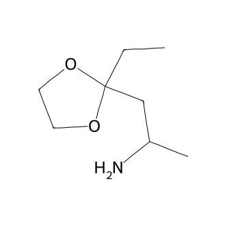 CCC1(CC(C)N)OCCO1